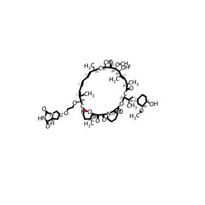 CO[C@@H]1C[C@H](C[C@@H](C)[C@@H]2CC(=O)[C@H](C)/C=C(\C)[C@@H](O)[C@@H](OC)C(=O)[C@H](C)C[C@H](C)/C=C/C=C/C=C(\C)[C@H](OCCO[C@@H]3C[C@H]4C(=O)NC(=O)N4C3)C[C@@H]3CC[C@@H](C)[C@@](O)(O3)C(=O)C(=O)N3CCCC[C@H]3C(=O)O2)CC[C@H]1O